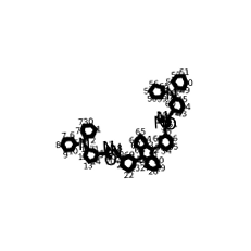 c1ccc(N(c2ccccc2)c2cccc(-c3nnc(-c4cccc(-c5c6ccccc6c(-c6cccc(-c7nnc(-c8cccc(N(c9ccccc9)c9ccccc9)c8)o7)c6)c6ccccc56)c4)o3)c2)cc1